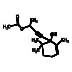 CC(=O)OC(C)C#CC1(O)C(C)=CCCC1(C)C